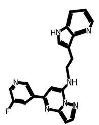 Fc1cncc(-c2cc(NCCc3c[nH]c4cccnc34)n3nccc3n2)c1